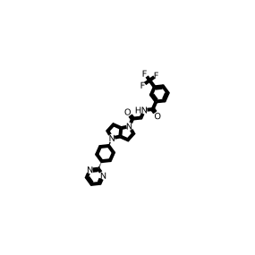 O=C(NCC(=O)N1CCC2C1CCN2[C@H]1CC[C@@H](c2ncccn2)CC1)c1cccc(C(F)(F)F)c1